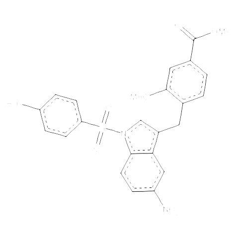 COC(=O)c1ccc(Cc2cn(S(=O)(=O)c3ccc(C)cc3)c3ccc([N+](=O)[O-])cc23)c(OC)c1